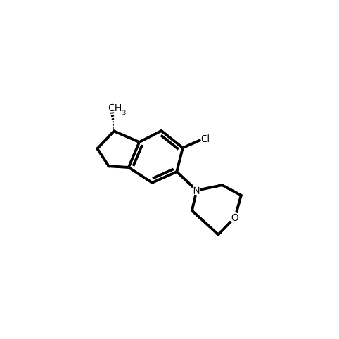 C[C@H]1CCc2cc(N3CCOCC3)c(Cl)cc21